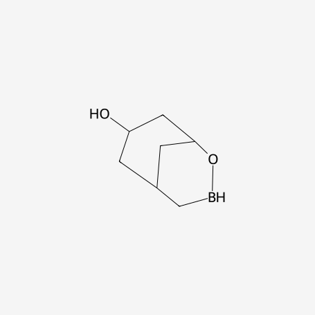 OC1CC2CBOC(C1)C2